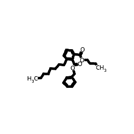 CCCCCCCCc1cccc(C(=O)OCCCC)c1C(=O)OCc1ccccc1